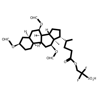 CC(CCC(=O)OCC(F)(F)S(=O)(=O)O)[C@H]1CC[C@H]2[C@@H]3[C@H](OC=O)C[C@@H]4C[C@H](OC=O)CC[C@]4(C)[C@H]3C[C@H](OC=O)[C@]12C